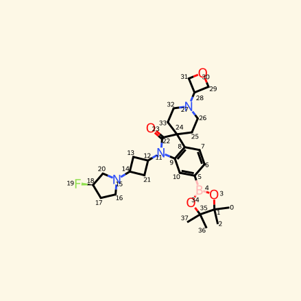 CC1(C)OB(c2ccc3c(c2)N(C2CC(N4CC[C@@H](F)C4)C2)C(=O)C32CCN(C3COC3)CC2)OC1(C)C